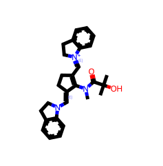 CN(C(=O)C(C)(C)O)C1=C(/C=[N+]2\CCc3ccccc32)CC/C1=C\N1CCc2ccccc21